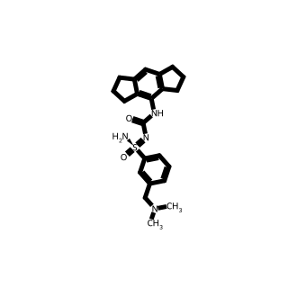 CN(C)Cc1cccc([S@](N)(=O)=NC(=O)Nc2c3c(cc4c2CCC4)CCC3)c1